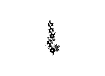 COc1cc(N2CCC(N3CCN(C)CC3)CC2)c(C)cc1Nc1ncc(Cl)c(C(=O)Nc2ccc(F)cc2NS(C)(=O)=O)n1